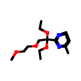 CCOC(COCCOC)(OCC)c1nccc(C)n1